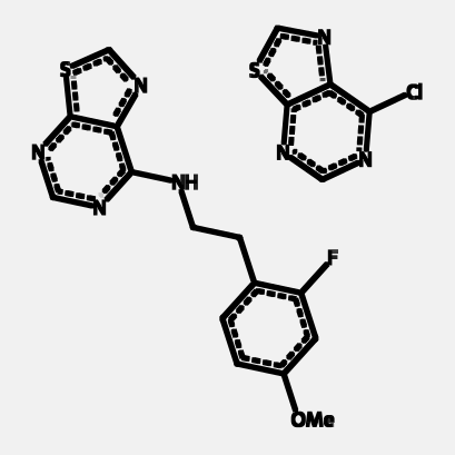 COc1ccc(CCNc2ncnc3scnc23)c(F)c1.Clc1ncnc2scnc12